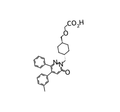 Cc1cccc(-c2cc(=O)n(C[C@H]3CC[C@H](COCC(=O)O)CC3)nc2-c2ccccc2)c1